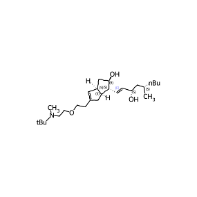 CCCC[C@H](C)C[C@H](O)/C=C/[C@@H]1[C@H]2CC(CCOCCN(C)C(C)(C)C)=C[C@H]2C[C@H]1O